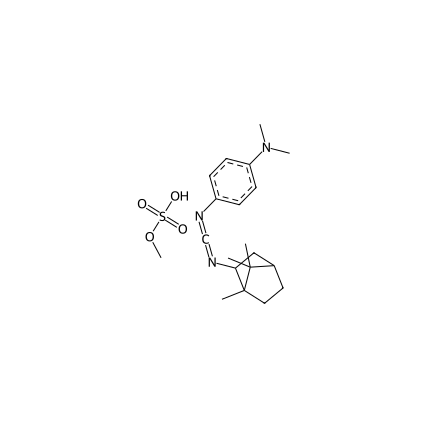 CN(C)c1ccc(N=C=NC2CC3CCC2(C)C3(C)C)cc1.COS(=O)(=O)O